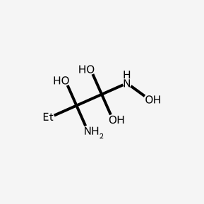 CCC(N)(O)C(O)(O)NO